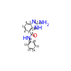 Nc1nc2cccc(C(=O)Nc3ccccc3)c2[nH]1